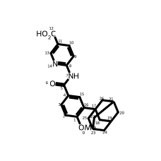 COc1ccc(C(=O)Nc2ccc(C(=O)O)cn2)cc1C12CC3CC(CC(C3)C1)C2